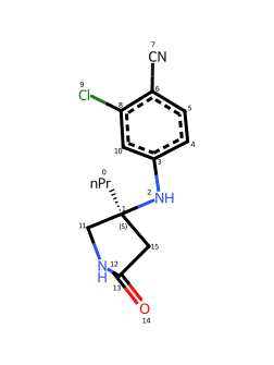 CCC[C@@]1(Nc2ccc(C#N)c(Cl)c2)CNC(=O)C1